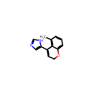 Cc1cccc2c1C(c1cnc[nH]1)=CCO2